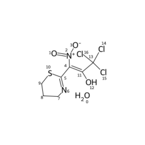 O.O=[N+]([O-])C(C1=NCCCS1)=C(O)C(Cl)(Cl)Cl